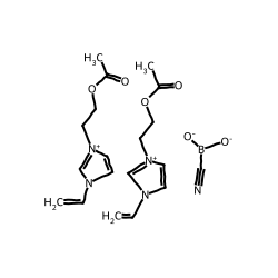 C=Cn1cc[n+](CCOC(C)=O)c1.C=Cn1cc[n+](CCOC(C)=O)c1.N#CB([O-])[O-]